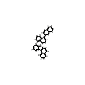 c1ccc2cc(-c3ccc(-n4c5ccccc5c5c6ccccc6ccc54)c4ccccc34)ccc2c1